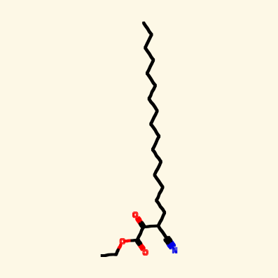 CCCCCCCCCCCCCCCCC(C#N)C(=O)C(=O)OCC